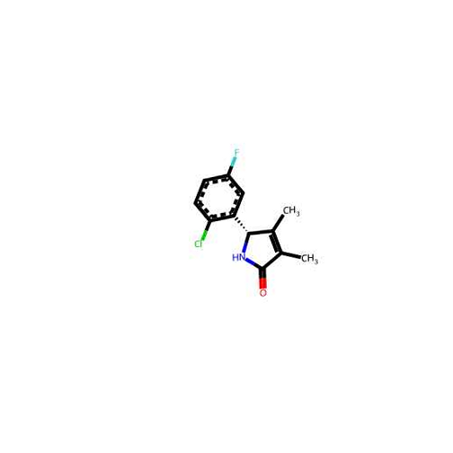 CC1=C(C)[C@@H](c2cc(F)ccc2Cl)NC1=O